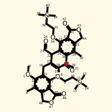 COc1c(C)c2c(c(OCC[Si](C)(C)C)c1CC(=C(C)C=O)C(C=O)c1c(OC)c(C)c3c(c1OCC[Si](C)(C)C)C(=O)OC3)C(=O)OC2